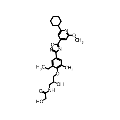 CCc1cc(-c2noc(-c3cc(OC)nc(C4CCCCC4)c3)n2)cc(C)c1OC[C@@H](O)CNC(=O)CO